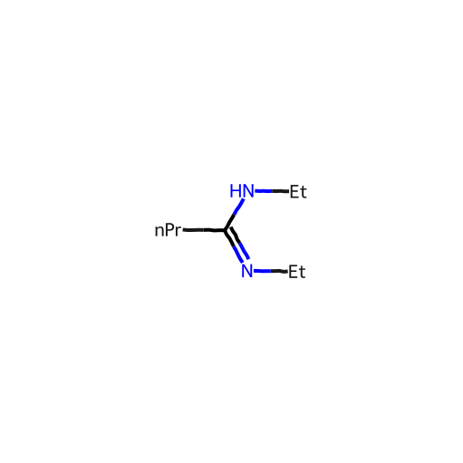 CCCC(=NCC)NCC